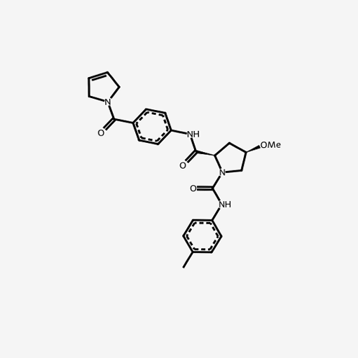 CO[C@@H]1C[C@H](C(=O)Nc2ccc(C(=O)N3CC=CC3)cc2)N(C(=O)Nc2ccc(C)cc2)C1